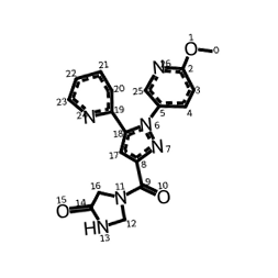 COc1ccc(-n2nc(C(=O)N3CNC(=O)C3)cc2-c2ccccn2)cn1